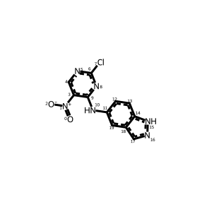 O=[N+]([O-])c1cnc(Cl)nc1Nc1ccc2[nH]ncc2c1